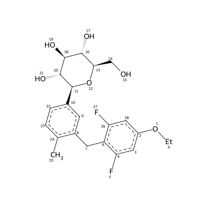 CCOc1cc(F)c(Cc2cc([C@@H]3O[C@H](CO)[C@@H](O)[C@H](O)[C@H]3O)ccc2C)c(F)c1